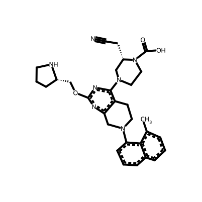 Cc1cccc2cccc(N3CCc4c(nc(OC[C@@H]5CCCN5)nc4N4CCN(C(=O)O)[C@@H](CC#N)C4)C3)c12